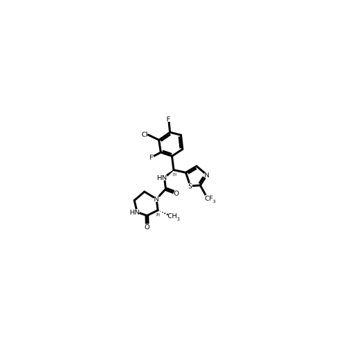 C[C@@H]1C(=O)NCCN1C(=O)N[C@H](c1cnc(C(F)(F)F)s1)c1ccc(F)c(Cl)c1F